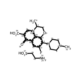 CC1COc2c(N3CCN(C)CC3)c(F)cc3c(=O)c(C(=O)O)cn1c23.NCCS(=O)(=O)O